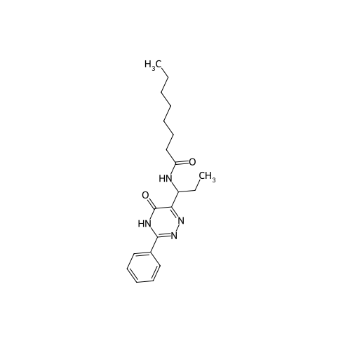 CCCCCCCC(=O)NC(CC)c1nnc(-c2ccccc2)[nH]c1=O